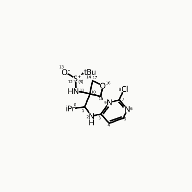 CC(C)C(Nc1ccnc(Cl)n1)C1(N[S@@+]([O-])C(C)(C)C)COC1